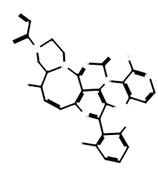 C=CC(=O)N1CCN2c3nc(=O)n(-c4c(C)ccnc4C(C)C)c4c(F)c(-c5c(O)cccc5F)nc(c34)/C=C\C(O)C2C1